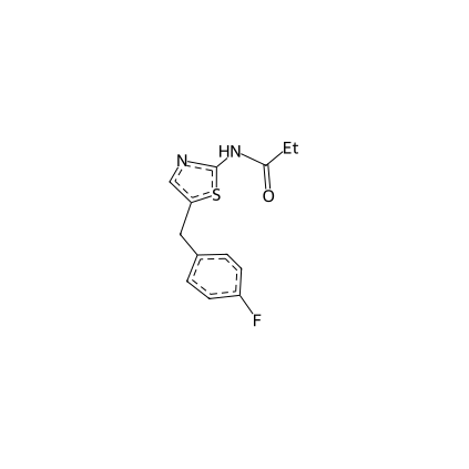 CCC(=O)Nc1ncc(Cc2ccc(F)cc2)s1